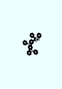 c1ccc(-c2c(-c3ccc4c(c3)c3cc5c(cc3n4-c3ccccc3)c3ccccc3n5-c3ccccc3)nc3sc4ccccc4n23)cc1